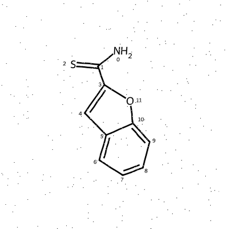 NC(=S)c1cc2ccccc2o1